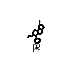 CCCC1CCc2c(ccc3ccc(F)cc23)C1c1ccc(OC(F)(F)F)cc1